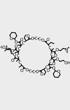 CCC1CC(C)(C(=O)OCCN(C)C)CC(C)(C(=O)OCCO)CC(C)(C(=O)OC2CCCCO2)CC(CC)C(=O)OCCOC(=O)C(C)CC(C)(C(=O)OCCN(C)C)CC(C)(C(=O)OCCO)CC(C)(C(=O)OC2CCCCO2)CC(CC)C(=O)OCCOC1=O